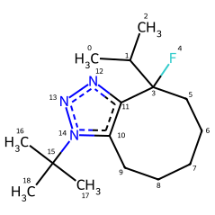 CC(C)C1(F)CCCCCc2c1nnn2C(C)(C)C